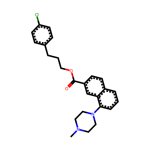 CN1CCN(c2cccc3ccc(C(=O)OCCCc4ccc(Cl)cc4)cc23)CC1